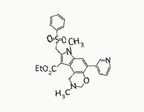 CCOC(=O)c1c(CS(=O)(=O)c2ccccc2)n(C)c2cc(-c3cccnc3)c3c(c12)CN(C)CO3